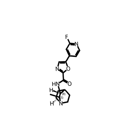 C[C@H]1[C@H](NC(=O)c2ncc(-c3ccnc(F)c3)o2)C2CCN1CC2